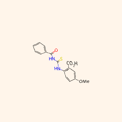 COc1ccc(NC(=S)NC(=O)c2ccccc2)c(C(=O)O)c1